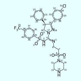 O=S(=O)(NC(=NCCS(=O)(=O)N1CCNCC1)N1C[C@@H](c2ccccc2)C(c2ccc(Cl)cc2)=N1)c1ccc(C(F)(F)F)cc1